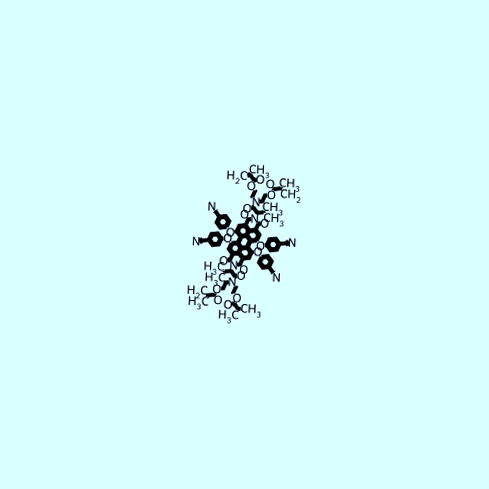 C=C(C)C(=O)OCCN(CCOC(=O)C(=C)C)C(=O)C(C(C)C)N1C(=O)c2cc(Oc3ccc(C#N)cc3)c3c4c(Oc5ccc(C#N)cc5)cc5c6c(cc(Oc7ccc(C#N)cc7)c(c7c(Oc8ccc(C#N)cc8)cc(c2c37)C1=O)c64)C(=O)N(C(C(=O)N(CCOC(=O)C(=C)C)CCOC(=O)C(C)C)C(C)C)C5=O